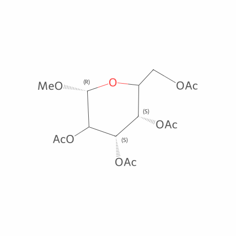 CO[C@@H]1OC(COC(C)=O)[C@H](OC(C)=O)[C@H](OC(C)=O)C1OC(C)=O